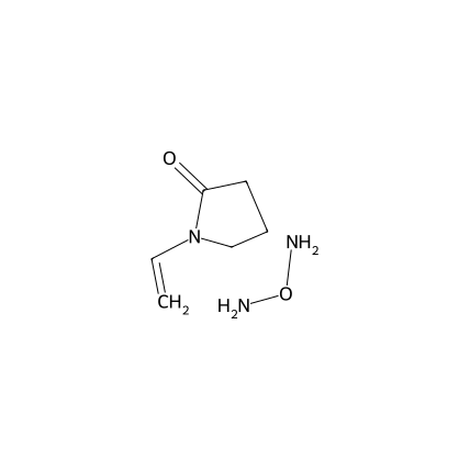 C=CN1CCCC1=O.NON